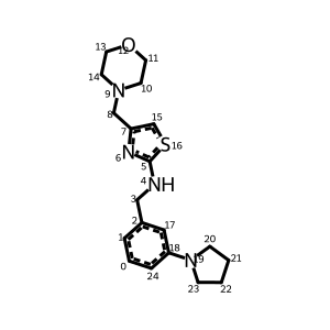 c1cc(CNc2nc(CN3CCOCC3)cs2)cc(N2CCCC2)c1